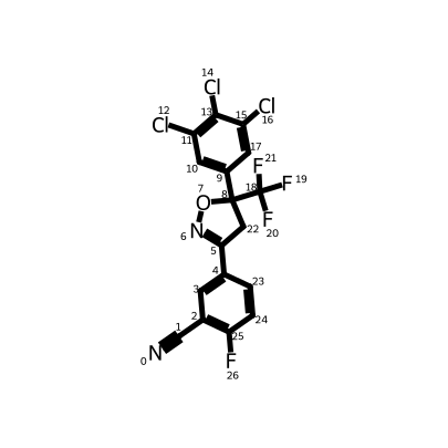 N#Cc1cc(C2=NOC(c3cc(Cl)c(Cl)c(Cl)c3)(C(F)(F)F)C2)ccc1F